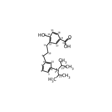 CC(C)N(c1cccc(CCCc2cc(C(=O)O)ccc2O)c1)C(C)C